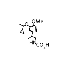 COc1ccc(C(C)CNC(=O)O)cc1OC(C)C1CC1